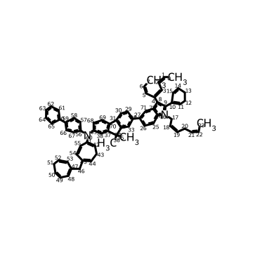 C\C=C/C=C(\C=C/C)c1c(C2=CCCC=C2)n(C/C=C\C/C=C\C)c2ccc(-c3ccc4c(c3)C(C)(C)c3cc(N(C5=CCC=C(CC6=CC=CCC=C6)C=C5)c5ccc(-c6ccccc6)cc5)ccc3-4)cc12